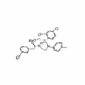 COC[C@@H]1[C@H](c2ccc(Cl)cc2Cl)N(c2ccc(C)cc2)CCN1C(=O)Cc1cccc(Cl)c1